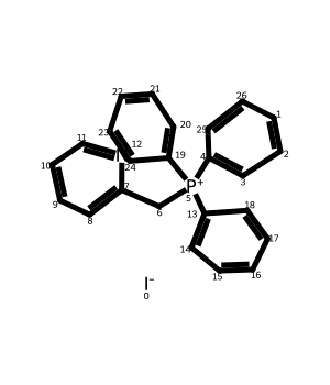 [I-].c1ccc([P+](Cc2ccccn2)(c2ccccc2)c2ccccc2)cc1